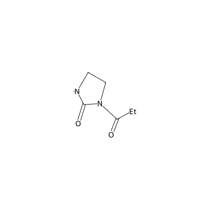 CCC(=O)N1CC[N]C1=O